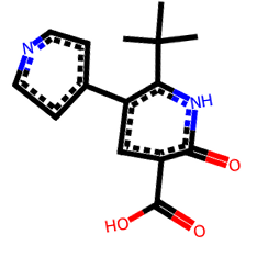 CC(C)(C)c1[nH]c(=O)c(C(=O)O)cc1-c1ccncc1